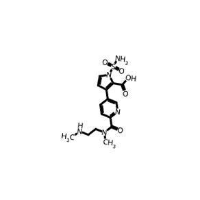 CNCCN(C)C(=O)c1ccc(-c2ccn(S(N)(=O)=O)c2C(=O)O)cn1